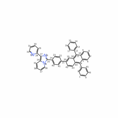 c1ccc(-c2c3ccccc3c(-c3ccccc3)c3cc(-c4ccc(-c5nc(-c6ccccn6)c6ccccn56)cc4)ccc23)cc1